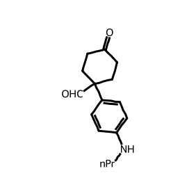 CCCNc1ccc(C2(C=O)CCC(=O)CC2)cc1